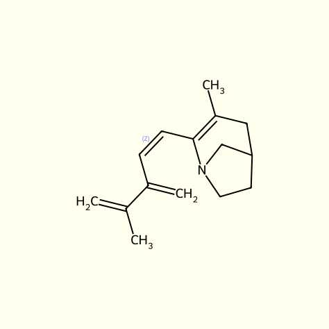 C=C(C)C(=C)/C=C\C1=C(C)CC2CCN1C2